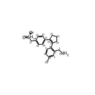 NCc1cc(F)ccc1C1=C(c2ccc(C[SH](=O)=O)cc2)CCC1